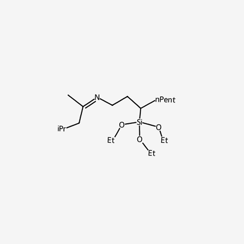 CCCCCC(CCN=C(C)CC(C)C)[Si](OCC)(OCC)OCC